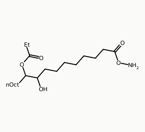 CCCCCCCCC(OC(=O)CC)C(O)CCCCCCCC(=O)ON